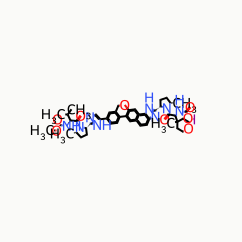 COC(=O)N[C@H](C(=O)N1[C@@H](C)CC[C@H]1c1ncc(-c2ccc3c(c2)COc2cc4c(ccc5nc([C@@H]6CC[C@H](C)N6C(=O)[C@@H](NC(=O)OI)C6(C)CCOCC6)[nH]c54)cc2-3)[nH]1)C(C)C